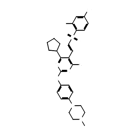 CN1CCN(c2ccc(Nc3nc(N)c(C=CS(=O)(=O)c4ccc(F)cc4F)c(C4CCCC4)n3)cc2)CC1